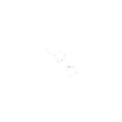 Cc1cc(C[O])nn1-c1ccco1